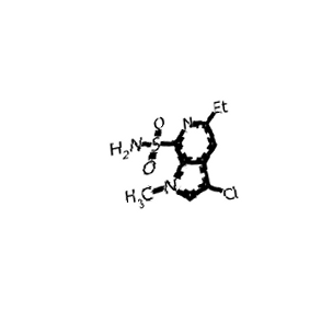 CCc1cc2c(Cl)cn(C)c2c(S(N)(=O)=O)n1